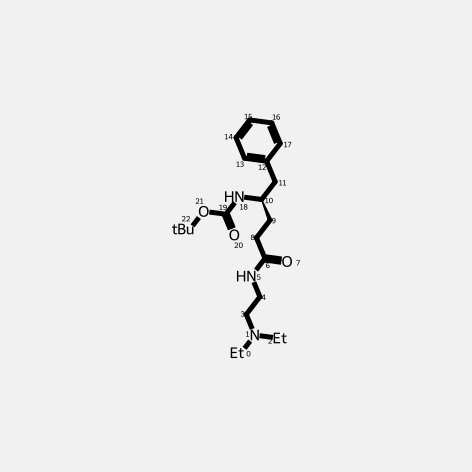 CCN(CC)CCNC(=O)CC[C@H](Cc1ccccc1)NC(=O)OC(C)(C)C